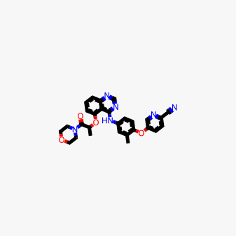 Cc1cc(Nc2ncnc3cccc(OC(C)C(=O)N4CCOCC4)c23)ccc1Oc1ccc(C#N)nc1